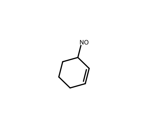 O=NC1C=CCCC1